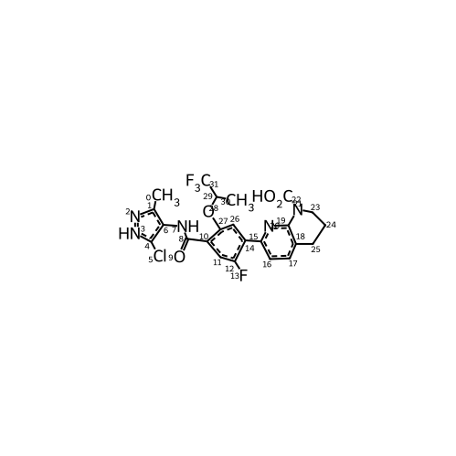 Cc1n[nH]c(Cl)c1NC(=O)c1cc(F)c(-c2ccc3c(n2)N(C(=O)O)CCC3)cc1OC(C)C(F)(F)F